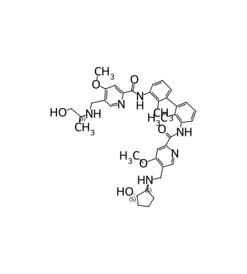 COc1cc(C(=O)Nc2cccc(-c3cccc(NC(=O)c4cc(OC)c(CN[C@@H](C)CO)cn4)c3C)c2C)ncc1CN[C@H]1CCC[C@@H]1O